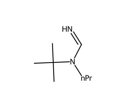 CCCN(C=N)C(C)(C)C